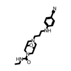 CCNC(=O)N1CC2CN(CCCNc3ccc(C#N)cc3)CC(C1)O2